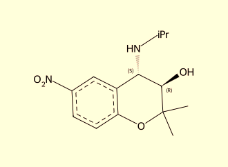 CC(C)N[C@H]1c2cc([N+](=O)[O-])ccc2OC(C)(C)[C@@H]1O